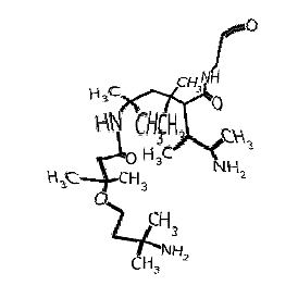 CC(N)C(C)C(C(=O)NCC=O)C(C)(C)CC(C)(C)NC(=O)CC(C)(C)OCCC(C)(C)N